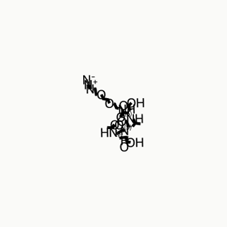 CC(=O)N[C@@H](CCC(=O)O)C(=O)N[C@@H](CC(C)C)C(=O)N[C@@H](CC(=O)O)C(=O)NCCOCCOCCN=[N+]=[N-]